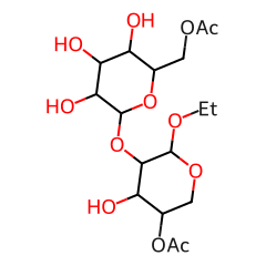 CCOC1OCC(OC(C)=O)C(O)C1OC1OC(COC(C)=O)C(O)C(O)C1O